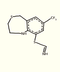 N=CSc1cc(C(F)(F)F)cc2c1NCCSC2